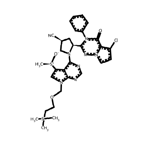 C[S@@+]([O-])c1cn(COCC[Si](C)(C)C)c2ncnc(N3C[C@@H](C#N)C[C@H]3c3nn4ccc(Cl)c4c(=O)n3-c3ccccc3)c12